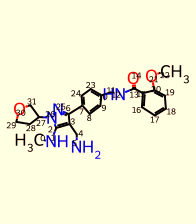 CNc1c(CN)c(-c2ccc(CNC(=O)c3ccccc3OC)cc2)nn1C1CCOC1